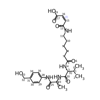 CC(C)[C@H](NC(=O)CCCCCNC(=O)/C=C\C(=O)O)C(=O)N[C@@H](C)C(=O)Nc1ccc(CO)cc1